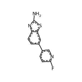 Nc1nc2ccc(-c3ccc(F)nc3)cc2s1